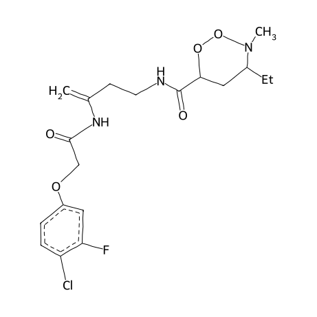 C=C(CCNC(=O)C1CC(CC)N(C)OO1)NC(=O)COc1ccc(Cl)c(F)c1